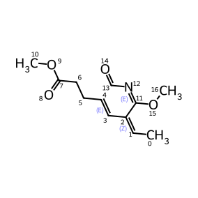 C/C=C(/C=C/CCC(=O)OC)C(=N/C=O)\OC